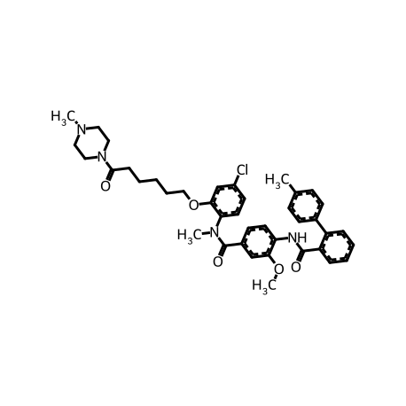 COc1cc(C(=O)N(C)c2ccc(Cl)cc2OCCCCCC(=O)N2CCN(C)CC2)ccc1NC(=O)c1ccccc1-c1ccc(C)cc1